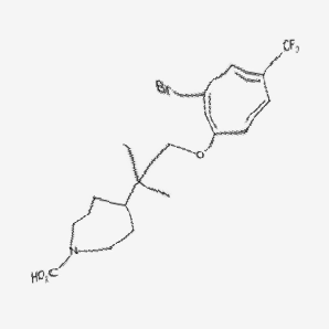 CC(C)(COc1ccc(C(F)(F)F)cc1Br)C1CCN(C(=O)O)CC1